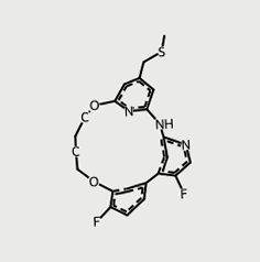 CSCc1cc2nc(c1)OCCCCOc1cc(ccc1F)-c1cc(ncc1F)N2